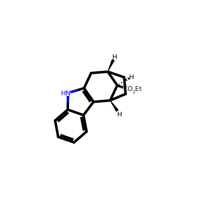 CCOC(=O)[C@@H]1[C@H]2CC[C@@H]1c1c([nH]c3ccccc13)C2